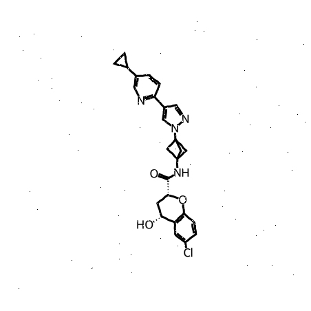 O=C(NC12CC(n3cc(-c4ccc(C5CC5)cn4)cn3)(C1)C2)[C@H]1C[C@@H](O)c2cc(Cl)ccc2O1